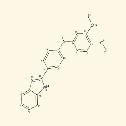 COc1ccc(Sc2ccc(-c3nc4ccccc4[nH]3)cc2)cc1OC